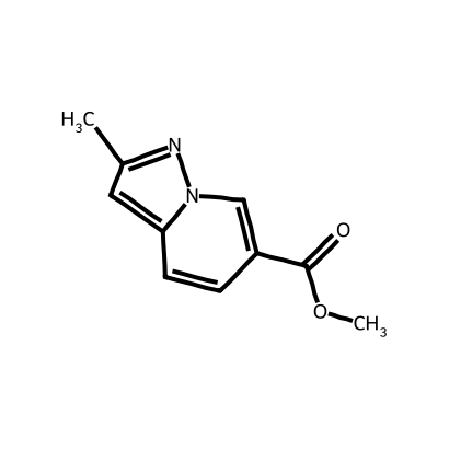 COC(=O)c1ccc2cc(C)nn2c1